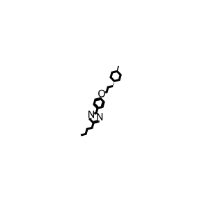 CCCCc1cnc(-c2ccc(OCCC[C@H]3CC[C@H](C)CC3)cc2)nc1